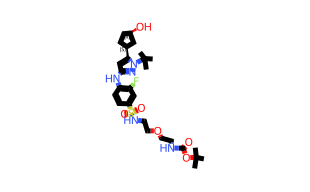 CC(C)(C)OC(=O)NCCOCCNS(=O)(=O)c1ccc(Nc2cc([C@H]3CC[C@@H](O)C3)n(C(C)(C)C)n2)c(F)c1